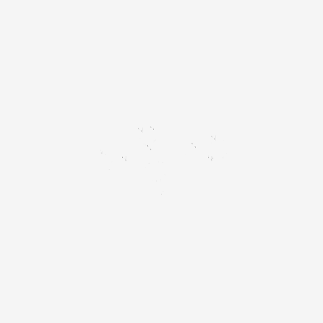 CC(C)(C)C(=O)N1Cc2cc(Cl)ccc2-n2c(nnc2C2CCN(c3ncccn3)CC2)C1